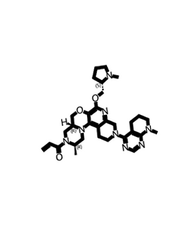 C=CC(=O)N1C[C@@H]2COc3c(OC[C@@H]4CCCN4C)nc4c(c3N2C[C@H]1C)CCN(c1ncnc2c1CCCN2C)C4